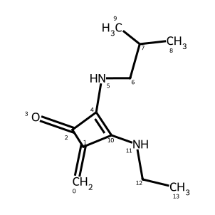 C=C1C(=O)C(NCC(C)C)=C1NCC